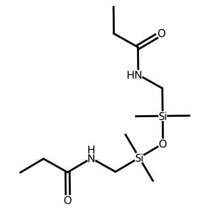 CCC(=O)NC[Si](C)(C)O[Si](C)(C)CNC(=O)CC